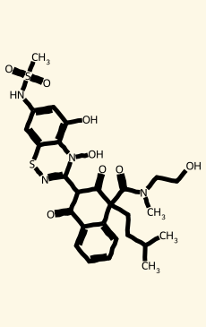 CC(C)CCC1(C(=O)N(C)CCO)C(=O)C(C2=NSc3cc(NS(C)(=O)=O)cc(O)c3N2O)C(=O)c2ccccc21